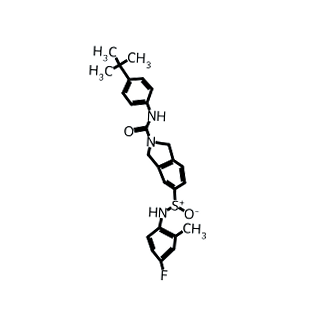 Cc1cc(F)ccc1N[S+]([O-])c1ccc2c(c1)CN(C(=O)Nc1ccc(C(C)(C)C)cc1)C2